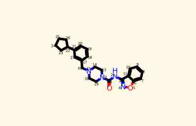 O=C(Nc1noc2ccccc12)N1CCN(Cc2cccc(C3CCCC3)c2)CC1